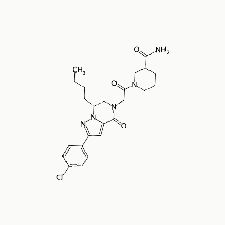 CCCCC1CN(CC(=O)N2CCCC(C(N)=O)C2)C(=O)c2cc(-c3ccc(Cl)cc3)nn21